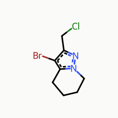 ClCc1nn2c(c1Br)CCCC2